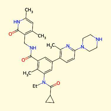 CCN(C(=O)C1CC1)c1cc(-c2ccc(N3CCNCC3)nc2C)cc(C(=O)NCc2c(C)cc(C)[nH]c2=O)c1C